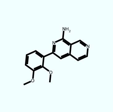 COc1cccc(-c2cc3ccncc3c(N)n2)c1OC